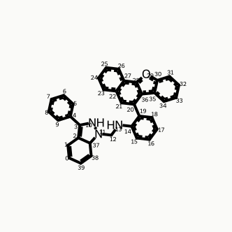 C1=CC2=C(c3ccccc3)NN(CNc3ccccc3-c3cc4ccccc4c4oc5ccccc5c34)C2C=C1